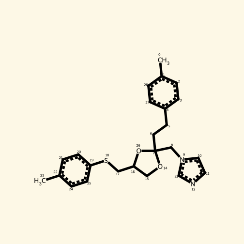 Cc1ccc(CCC2(Cn3ccnc3)OCC(CSc3ccc(C)cc3)O2)cc1